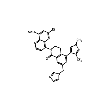 CCc1cc(OC)c2nncc(N3CCc4c(cc(Cn5ccnc5)cc4-c4cn(C)nc4C(F)(F)F)C3=O)c2c1